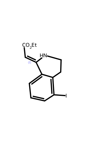 CCOC(=O)/C=C1\NCCc2c(I)cccc21